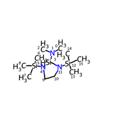 CN(C)[SiH]1N([Si](C)(C)C)CCN1[Si](C)(C)C